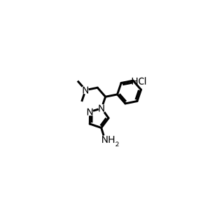 CN(C)CC(c1ccccc1)n1cc(N)cn1.Cl